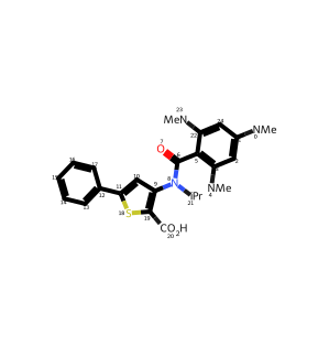 CNc1cc(NC)c(C(=O)N(c2cc(-c3ccccc3)sc2C(=O)O)C(C)C)c(NC)c1